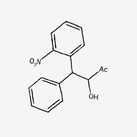 CC(=O)C(O)C(c1ccccc1)c1ccccc1[N+](=O)[O-]